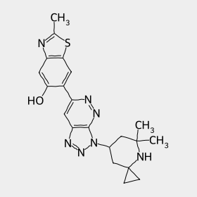 Cc1nc2cc(O)c(-c3cc4nnn(C5CC(C)(C)NC6(CC6)C5)c4nn3)cc2s1